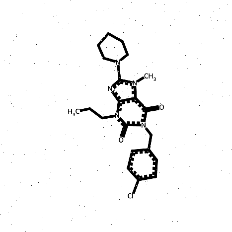 CCCn1c(=O)n(Cc2ccc(Cl)cc2)c(=O)c2c1nc(N1CCCCC1)n2C